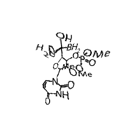 BC(B)(O)C1OC(n2ccc(=O)[nH]c2=O)C(OC)C1OP(=O)(OC)OC